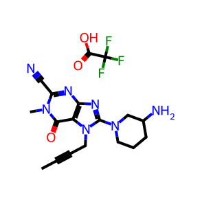 CC#CCn1c(N2CCCC(N)C2)nc2nc(C#N)n(C)c(=O)c21.O=C(O)C(F)(F)F